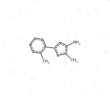 Cc1ccccc1-c1cc(N)n(C)n1